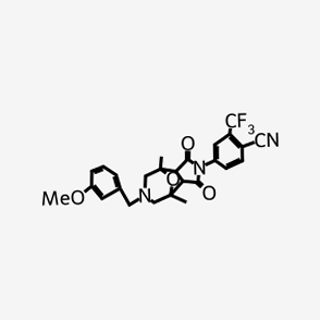 COc1cccc(CN2CC3(C)OC(C)(C2)C2C(=O)N(c4ccc(C#N)c(C(F)(F)F)c4)C(=O)C23)c1